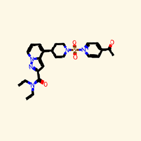 CCN(CC)C(=O)c1cc2c(C3CCN(S(=O)(=O)[n+]4ccc(C(C)=O)cc4)CC3)cccn2n1